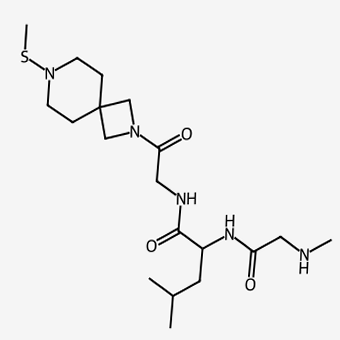 CNCC(=O)NC(CC(C)C)C(=O)NCC(=O)N1CC2(CCN(SC)CC2)C1